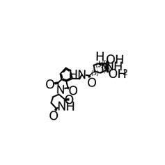 NN1C2[C@@H](C(=O)NCc3cccc4c3C(=O)N(C3CCC(=O)NC3=O)C4=O)C[C@H]1[C@@H](O)[C@H]2O